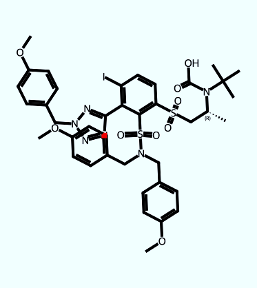 COc1ccc(CN(Cc2ccc(OC)cc2)S(=O)(=O)c2c(S(=O)(=O)C[C@@H](C)N(C(=O)O)C(C)(C)C)ccc(I)c2-c2nnn(Cc3ccc(OC)cc3)n2)cc1